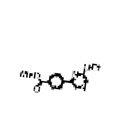 CCOc1cncc(-c2ccc(C(=O)OC)cc2)n1